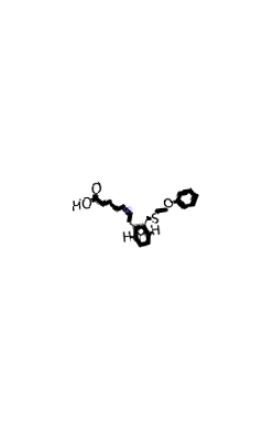 O=C(O)CCC/C=C\C[C@@H]1[C@H](CSCCOc2ccccc2)[C@@H]2CC[C@H]1O2